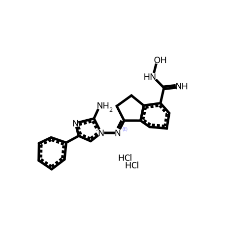 Cl.Cl.N=C(NO)c1cccc2c1CC/C2=N\n1cc(-c2ccccc2)nc1N